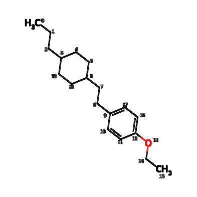 CCCC1CCC(CCc2ccc(OCC)cc2)CC1